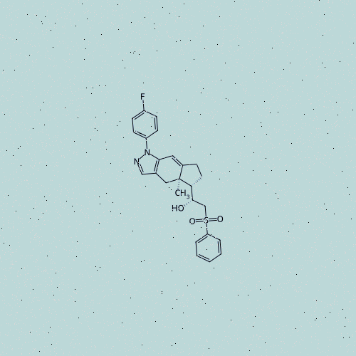 C[C@]12Cc3cnn(-c4ccc(F)cc4)c3C=C1CC[C@@H]2[C@@H](O)CS(=O)(=O)c1ccccc1